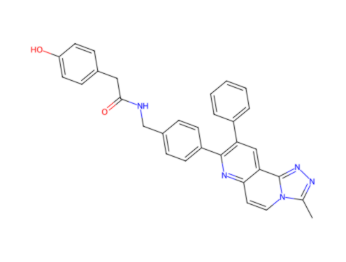 Cc1nnc2c3cc(-c4ccccc4)c(-c4ccc(CNC(=O)Cc5ccc(O)cc5)cc4)nc3ccn12